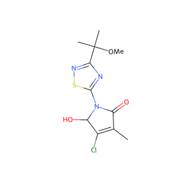 COC(C)(C)c1nsc(N2C(=O)C(C)=C(Cl)C2O)n1